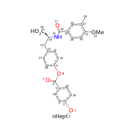 CCCCCCCOc1ccc(C(=O)Oc2ccc(C[C@H](NC(=O)c3ccc(OC)c(C)c3)C(=O)O)cc2)cc1